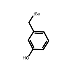 CC(C)(C)Cc1cccc(O)c1